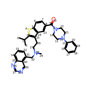 CC(C)c1sc2ccc(C(=O)N3CCN(c4ccccc4)CC3)cc2c1CCN(C)Cc1cccc2ncncc12